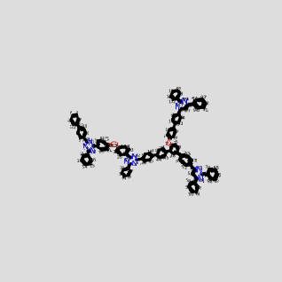 c1ccc(-c2ccc(-c3nc(-c4ccccc4)nc(-c4ccc(Oc5ccc(-c6nc(-c7ccccc7)nc(-c7ccc(-c8ccc(-c9cc(-c%10ccc(-c%11cc(-c%12ccccc%12)nc(-c%12ccccc%12)n%11)cc%10)ccc9Oc9ccc(-c%10ccc(-c%11cc(-c%12ccccc%12)nc(-c%12ccccc%12)n%11)cc%10)cc9)cc8)cc7)n6)cc5)cc4)n3)cc2)cc1